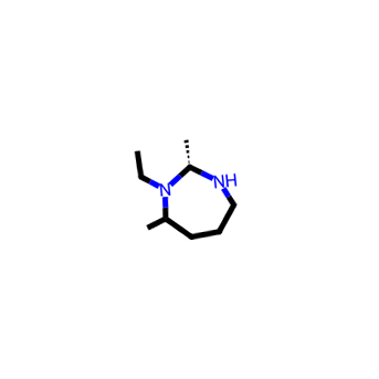 CCN1C(C)CCCN[C@H]1C